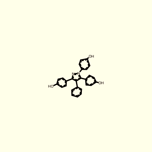 Oc1ccc(-c2nn(-c3ccc(O)cc3)c(-c3ccc(O)cc3)c2-c2ccccc2)cc1